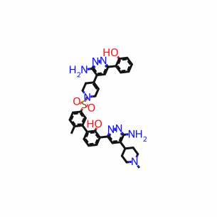 Cc1ccc(S(=O)(=O)N2CC=C(c3cc(-c4ccccc4O)nnc3N)CC2)cc1-c1cccc(-c2cc(C3CCN(C)CC3)c(N)nn2)c1O